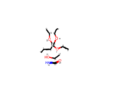 CCC[Si](OCC)(OCC)OCC.CCO.N=C=O